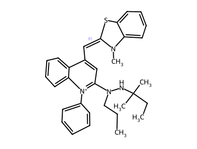 CCCN(NC(C)(C)CC)c1cc(/C=C2/Sc3ccccc3N2C)c2ccccc2[n+]1-c1ccccc1